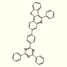 c1ccc(-c2nc(-c3ccccc3)nc(-c3ccc(-c4ccc5c(c4)nc(-c4ccccc4)c4c6ccccc6sc54)cc3)n2)cc1